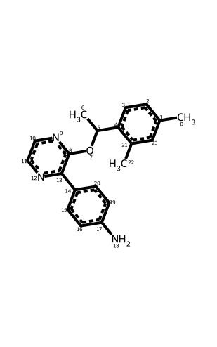 Cc1ccc(C(C)Oc2nccnc2-c2ccc(N)cc2)c(C)c1